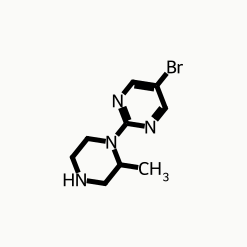 CC1CNCCN1c1ncc(Br)cn1